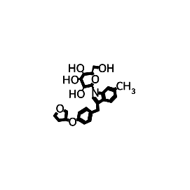 Cc1ccc2c(Cc3ccc(OC4CCOC4)cc3)cn([C@@H]3O[C@H](CO)[C@@H](O)[C@H](O)[C@H]3O)c2c1